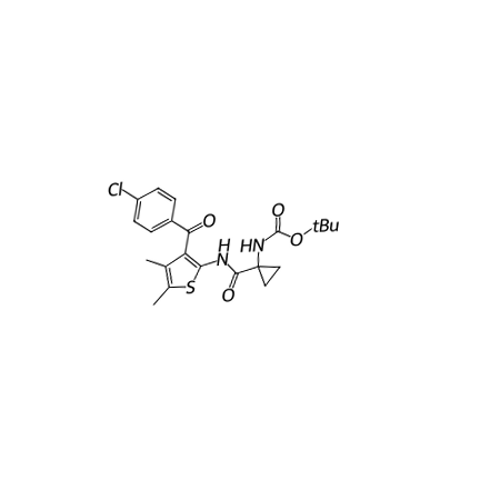 Cc1sc(NC(=O)C2(NC(=O)OC(C)(C)C)CC2)c(C(=O)c2ccc(Cl)cc2)c1C